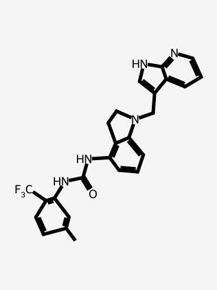 Cc1ccc(C(F)(F)F)c(NC(=O)Nc2cccc3c2CCN3Cc2c[nH]c3ncccc23)c1